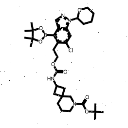 CC(C)(C)OC(=O)N1CCCC2(CC(NC(=O)OCCc3c(Cl)cc4c(cnn4C4CCCCO4)c3B3OC(C)(C)C(C)(C)O3)C2)C1